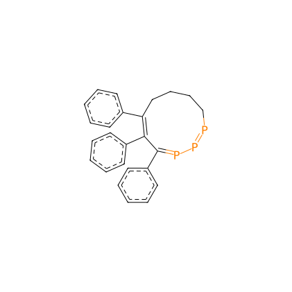 c1ccc(C2=PP=PCCCCC(c3ccccc3)=C2c2ccccc2)cc1